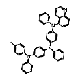 Cc1ccc(N(c2ccccc2)c2ccc(N(c3ccccc3)c3ccc(N(c4ccccc4)c4cccc5ncccc45)cc3)cc2)cc1